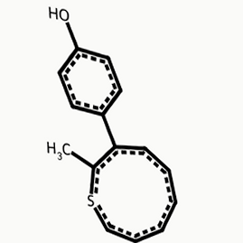 Cc1sccccccc1-c1ccc(O)cc1